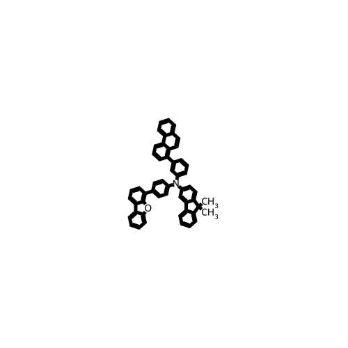 CC1(C)c2ccccc2-c2cc(N(c3ccc(-c4cccc5c4oc4ccccc45)cc3)c3cccc(-c4cccc5c4ccc4ccccc45)c3)ccc21